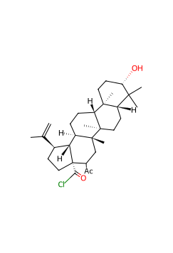 C=C(C)[C@@H]1CC[C@]2(C(=O)Cl)C(C(C)=O)C[C@]3(C)[C@H](CC[C@@H]4[C@@]5(C)CC[C@H](O)C(C)(C)[C@@H]5CC[C@]43C)[C@@H]12